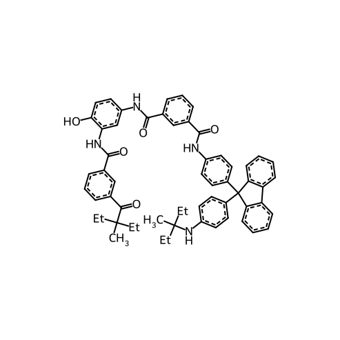 CCC(C)(CC)Nc1ccc(C2(c3ccc(NC(=O)c4cccc(C(=O)Nc5ccc(O)c(NC(=O)c6cccc(C(=O)C(C)(CC)CC)c6)c5)c4)cc3)c3ccccc3-c3ccccc32)cc1